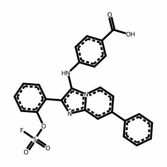 O=C(O)c1ccc(Nc2c(-c3ccccc3OS(=O)(=O)F)nc3cc(-c4ccccc4)ccn23)cc1